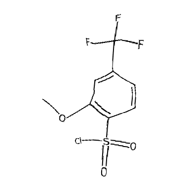 COc1cc(C(F)(F)F)ccc1S(=O)(=O)Cl